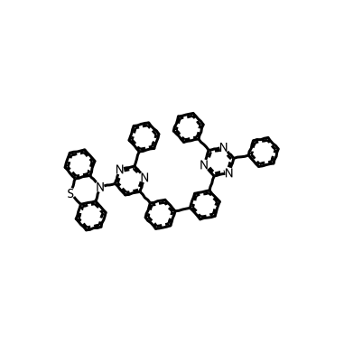 c1ccc(-c2nc(-c3cccc(-c4cccc(-c5nc(-c6ccccc6)nc(-c6ccccc6)n5)c4)c3)cc(N3c4ccccc4Sc4ccccc43)n2)cc1